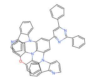 c1ccc(-c2cc(-c3cc(-n4c5ccccc5c5ncccc54)c(N4c5ccccc5Oc5ccccc54)c(-n4c5ccccc5c5ncccc54)c3)nc(-c3ccccc3)n2)cc1